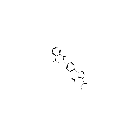 CNC(=O)c1ncn(-c2ccc(NC(=O)c3ccccc3C(F)F)cc2)c1C(N)=O